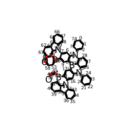 c1ccc(N2c3cc4c(cc3B3c5cc6c(cc5N(c5ccccc5)c5cccc2c53)-n2c3ccccc3c3ccc5c(c32)B6c2ccccc2O5)B2c3ccccc3Oc3ccc5c6ccccc6n-4c5c32)cc1